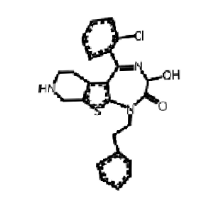 O=C1C(O)N=C(c2ccccc2Cl)c2c(sc3c2CCNC3)N1CCc1ccccc1